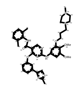 COc1cc(Nc2ncc(C(=O)Nc3c(C)cccc3C)c(Oc3cccc(-c4csc(C)n4)c3)n2)cc(OCCCN2CCN(C)CC2)c1OC